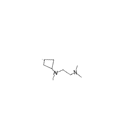 CN(C)CCN(C)C1C[CH]C1